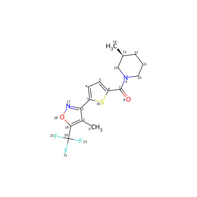 Cc1c(-c2ccc(C(=O)N3CCC[C@H](C)C3)s2)noc1C(F)(F)F